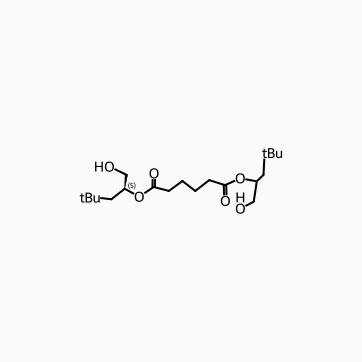 CC(C)(C)CC(CO)OC(=O)CCCCC(=O)O[C@H](CO)CC(C)(C)C